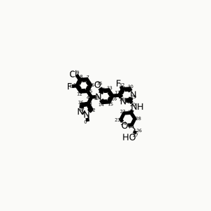 Cn1cc(C(c2ccc(Cl)c(F)c2)n2ccc(-c3nc(NC4CCO[C@@H](CO)C4)ncc3F)cc2=O)cn1